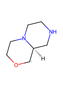 [CH]1OCCN2CCNC[C@@H]12